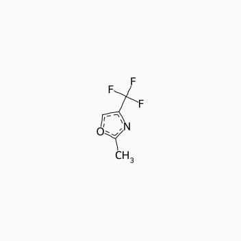 Cc1nc(C(F)(F)F)co1